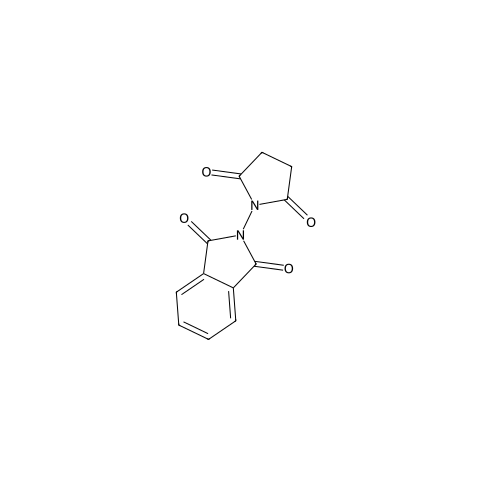 O=C1CCC(=O)N1N1C(=O)c2ccccc2C1=O